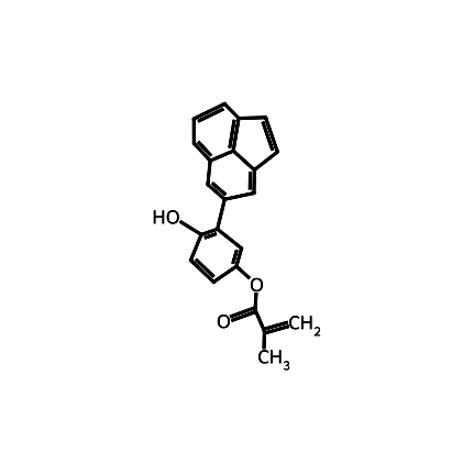 C=C(C)C(=O)Oc1ccc(O)c(-c2cc3c4c(cccc4c2)C=C3)c1